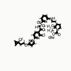 CC(C)(C)OC(=O)N1CC[C@H](CCNc2cccc(S(=O)(=O)NC(=O)c3ccc(-n4ccc(OCCC5(C(F)(F)F)CC5)n4)nc3Cl)n2)C1(C)C